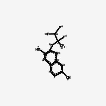 N#Cc1ccc2nc(O)c(OC(F)(C(F)F)C(F)(F)F)nc2c1